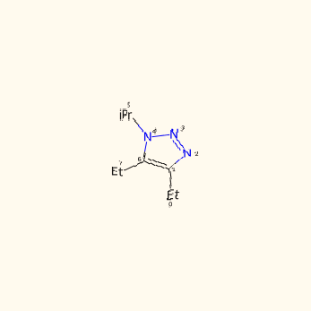 CCc1nnn(C(C)C)c1CC